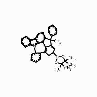 CC1(c2ccccc2)C2=CC(B3OC(C)(C)C(C)(C)O3)CC3=C2c2c1ccc1c4ccccc4n(c21)-c1ccccc13